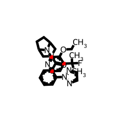 CCOc1c(C(C)(C)F)ccnc1N1C2CCC1CN(C(=O)c1ccccc1-n1nccn1)C2